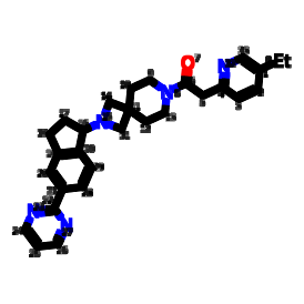 CCc1ccc(CC(=O)N2CCC3(CC2)CN(C2CCc4cc(-c5ncccn5)ccc42)C3)nc1